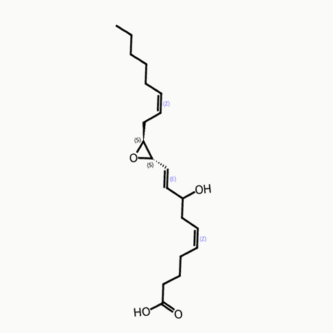 CCCCC/C=C\C[C@@H]1O[C@H]1/C=C/C(O)C/C=C\CCCC(=O)O